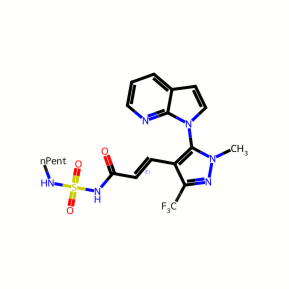 CCCCCNS(=O)(=O)NC(=O)/C=C/c1c(C(F)(F)F)nn(C)c1-n1ccc2cccnc21